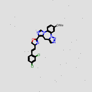 COc1ccc2c(c1)-n1nncc1Cc1c(C3=NC(C=Cc4ccc(Cl)cc4Cl)CO3)ncn1-2